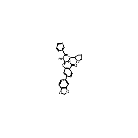 O=C(Nc1nc2cc(-c3ccc4c(c3)OCO4)ccc2c(=O)n1CC1CCCO1)c1ccccc1